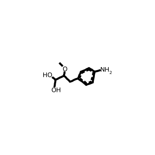 COC(Cc1ccc(N)cc1)C(O)O